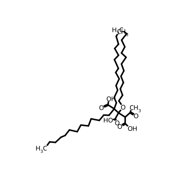 CCCCCCCCCCCCCOC(C(=O)O)(C(C(C)=O)C(=O)O)C(CCCCCCCCCCCCC)(CCCCCCCCCCCCC)C(=O)O